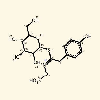 O=S(=O)(O)O/N=C(\Cc1ccc(O)cc1)S[C@@H]1OC(CO)[C@@H](O)[C@H](O)C1O